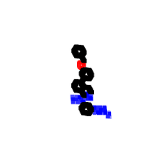 Nc1cccc(Nc2nccc3c(-c4cccc(OCc5ccccc5)c4)cccc23)c1